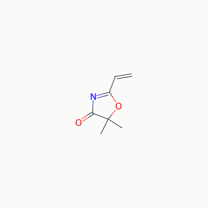 C=CC1=NC(=O)C(C)(C)O1